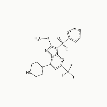 CSc1nn2c(N3CCNCC3)cc(C(F)(F)F)nc2c1S(=O)(=O)c1ccccc1